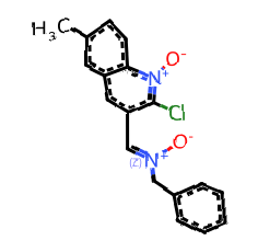 Cc1ccc2c(c1)cc(/C=[N+](\[O-])Cc1ccccc1)c(Cl)[n+]2[O-]